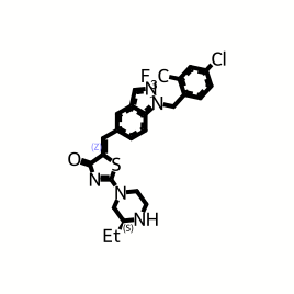 CC[C@H]1CN(C2=NC(=O)/C(=C/c3ccc4c(cnn4Cc4ccc(Cl)cc4C(F)(F)F)c3)S2)CCN1